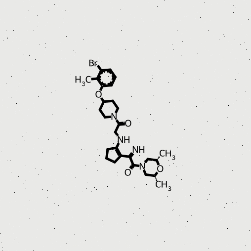 Cc1c(Br)cccc1OC1CCN(C(=O)CNC2=C(C(=N)C(=O)N3C[C@@H](C)O[C@@H](C)C3)CCC2)CC1